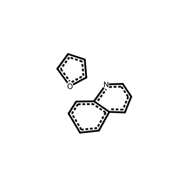 c1ccc2ncccc2c1.c1ccoc1